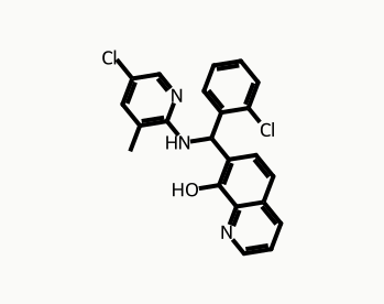 Cc1cc(Cl)cnc1NC(c1ccccc1Cl)c1ccc2cccnc2c1O